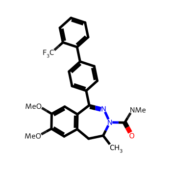 CNC(=O)N1N=C(c2ccc(-c3ccccc3C(F)(F)F)cc2)c2cc(OC)c(OC)cc2CC1C